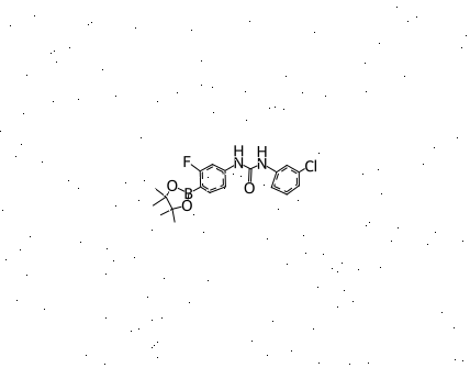 CC1(C)OB(c2ccc(NC(=O)Nc3cccc(Cl)c3)cc2F)OC1(C)C